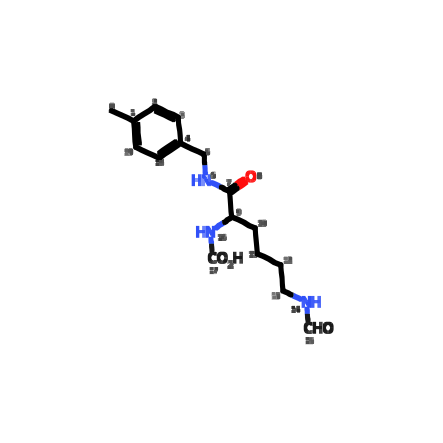 Cc1ccc(CNC(=O)C(CCCCNC=O)NC(=O)O)cc1